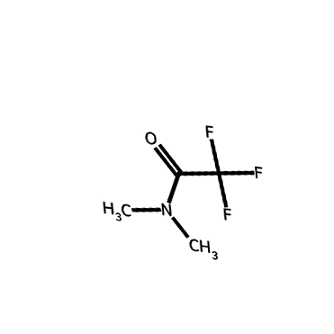 CN(C)C(=O)C(F)(F)F